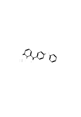 CC1C(=O)[C]=CC=C1C(=O)c1ccc(Oc2cc[c]cc2)cc1